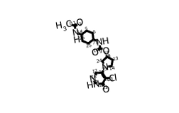 CC(=O)NC1CCC(NC(=O)O[C@@H]2CCN(c3cn[nH]c(=O)c3Cl)C2)CC1